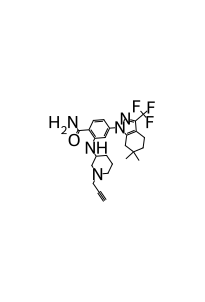 C#CCN1CCCC(Nc2cc(-n3nc(C(F)(F)F)c4c3CC(C)(C)CC4)ccc2C(N)=O)C1